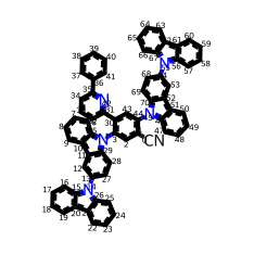 N#Cc1cc(-n2c3ccccc3c3cc(-n4c5ccccc5c5ccccc54)ccc32)c(-c2cccc(-c3ccccc3)n2)cc1-n1c2ccccc2c2cc(-n3c4ccccc4c4ccccc43)ccc21